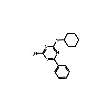 Nc1nc(NC2CCCCC2)nc(-c2ccccc2)n1